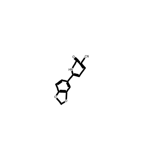 N#Cc1ccc(-c2ccc3c(c2)OCO3)[nH]c1=O